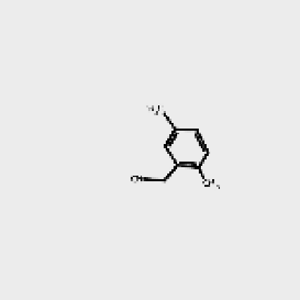 [C-]#[N+]Cc1cc(C)ccc1C